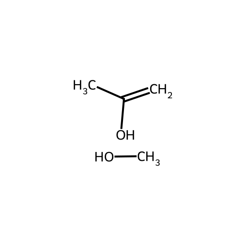 C=C(C)O.CO